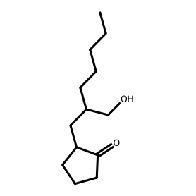 CCCCCC(CO)CC1CCCC1=O